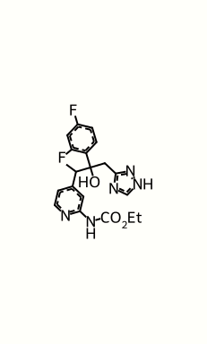 CCOC(=O)Nc1cc(C(C)C(O)(Cc2nc[nH]n2)c2ccc(F)cc2F)ccn1